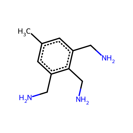 Cc1cc(CN)c(CN)c(CN)c1